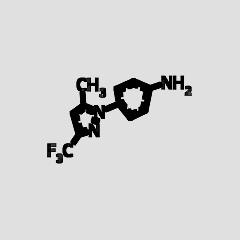 Cc1cc(C(F)(F)F)nn1-c1ccc(N)cc1